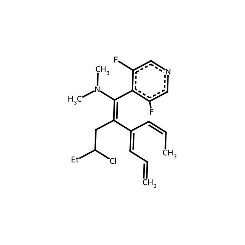 C=C/C=C(\C=C/C)C(/CC(Cl)CC)=C(\c1c(F)cncc1F)N(C)C